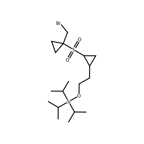 CC(C)[Si](OCCC1CC1S(=O)(=O)C1(CBr)CC1)(C(C)C)C(C)C